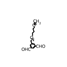 C=NOCCCCCO/N=C/c1cc(C=O)cc(C=O)c1